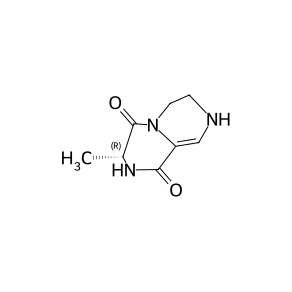 C[C@H]1NC(=O)C2=CNCCN2C1=O